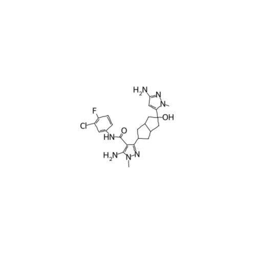 Cn1nc(N)cc1C1(O)CC2CC(c3nn(C)c(N)c3C(=O)Nc3ccc(F)c(Cl)c3)CC2C1